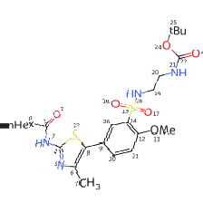 CCCCCCC(=O)Nc1nc(C)c(-c2ccc(OC)c(S(=O)(=O)NCCNC(=O)OC(C)(C)C)c2)s1